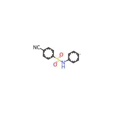 N#Cc1ccc(S(=O)(=O)Nc2cc[c]cc2)cc1